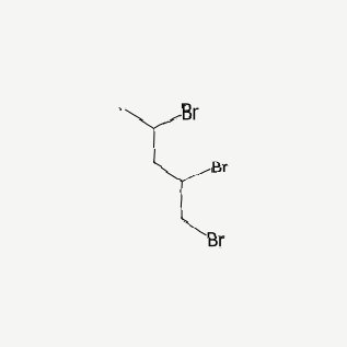 [CH2]C(Br)CC(Br)CBr